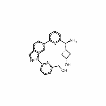 N[C@H](c1cccc(-c2ccc3cnn(-c4cccc(CO)n4)c3c2)n1)[C@H]1C[C@@H](O)C1